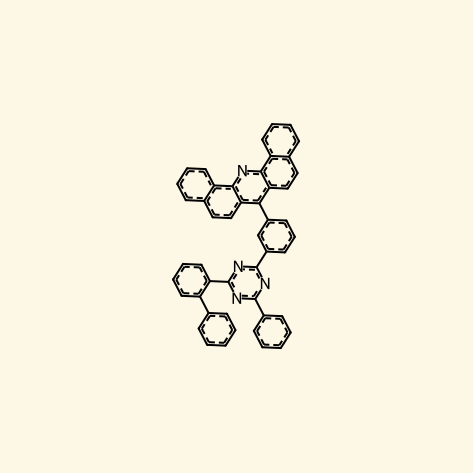 c1ccc(-c2nc(-c3cccc(-c4c5ccc6ccccc6c5nc5c4ccc4ccccc45)c3)nc(-c3ccccc3-c3ccccc3)n2)cc1